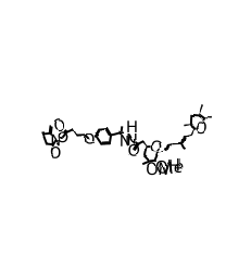 C=C1CCC(=O)N1OC(=O)CCCOc1ccc(/C(C)=N/NC(=O)C[C@@H]2C[C@](C)(OC)[C@H](O)[C@@H](/C=C/C(C)=C/C[C@@H]3O[C@H](C)[C@H](C)C[C@@H]3C)O2)cc1